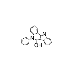 Oc1c2c3ccccc3nc-2c2ccccc2n1-c1ccccc1